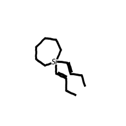 CCC=C[Si]1(C=CCC)CCCCCC1